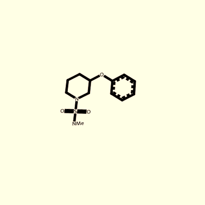 CNS(=O)(=O)N1CCCC(Oc2ccccc2)C1